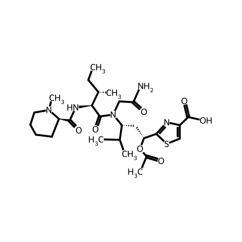 CC[C@H](C)[C@H](NC(=O)[C@H]1CCCCN1C)C(=O)N(CC(N)=O)[C@H](C[C@@H](OC(C)=O)c1nc(C(=O)O)cs1)C(C)C